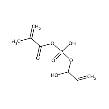 C=CC(O)OP(=O)(O)OC(=O)C(=C)C